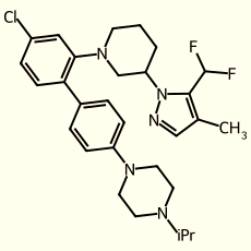 Cc1cnn(C2CCCN(c3cc(Cl)ccc3-c3ccc(N4CCN(C(C)C)CC4)cc3)C2)c1C(F)F